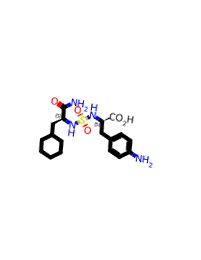 NC(=O)[C@H](CC1CCCCC1)NS(=O)(=O)N[C@@H](Cc1ccc(N)cc1)C(=O)O